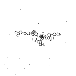 Cc1nc(C(=O)N2Cc3cc4c(cc3C[C@H]2C(=O)N[C@@H](Cc2ccc(-c3ccc(C#N)cc3)cc2)C(=O)O)OC[C@H](c2ccc(OCc3ccc(Cl)c(Cl)c3)cc2)O4)c(C)o1